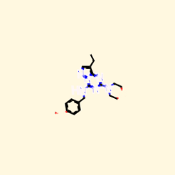 CCc1cnn2c(NCc3ccc(OC)cc3)nc(N3CCOCC3)nc12